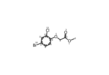 COC(=O)COc1c[c]c(Br)cc1Cl